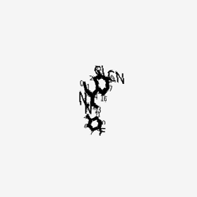 Cc1nn(Cc2ccc(F)cc2)c(C)c1-c1ccc(C#N)c(Cl)c1